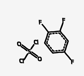 Fc1ccc(F)c(F)c1.O=S(=O)(Cl)Cl